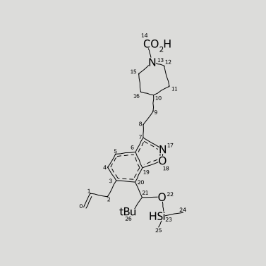 C=CCc1ccc2c(CCC3CCN(C(=O)O)CC3)noc2c1C(O[SiH](C)C)C(C)(C)C